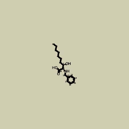 CCCCCCC[C@@H](O)[C@@H](NCc1ccccc1)C(=O)O